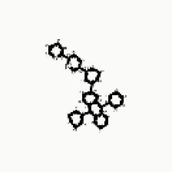 c1ccc(-c2c3ccccc3c(-c3ccccc3)c3cc(-c4cccc(-c5ccc(-c6ccccn6)nc5)c4)ccc23)cc1